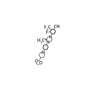 C[C@H]1CN(c2ccc(C#N)c(C(F)(F)F)c2F)CCN1c1ccc(N2CCC(C3OCCO3)CC2)cc1